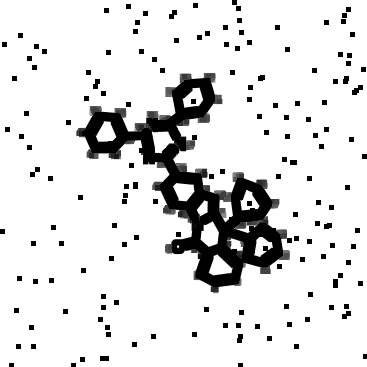 O=C1c2ccccc2C(c2ccccc2)(c2ccccc2)c2cc3cc(-c4nc(-c5ccccc5)nc(-c5ccccc5)n4)ccc3n21